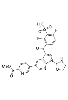 COC(=O)c1ccc(-c2cnc3c(c2)c(C(=O)c2ccc(F)c(S(C)(=O)=O)c2F)nn3C2NCCO2)cn1